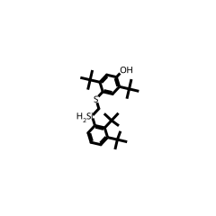 CC(C)(C)c1cc(SC[SiH2]c2cccc(C(C)(C)C)c2C(C)(C)C)c(C(C)(C)C)cc1O